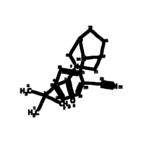 CC(C)(C)OC(=O)N1CC2CCC(C1)N2c1ccccc1C#N